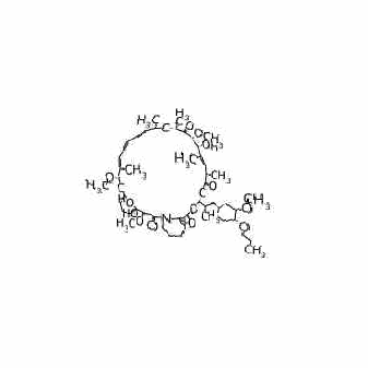 CCCO[C@@H]1CC[C@@H](C[C@@H](C)[C@@H]2CC(=O)[C@H](C)/C=C(\C)[C@@H](O)[C@@H](OC)C(=O)[C@H](C)C[C@H](C)/C=C/C=C/C=C(\C)[C@@H](OC)C[C@@H]3CC[C@@H](C)[C@@](O)(O3)C(=O)C(=O)N3CCCC[C@H]3C(=O)O2)C[C@H]1OC